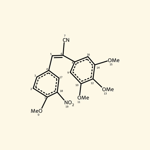 COc1ccc(/C=C(/C#N)c2cc(OC)c(OC)c(OC)c2)cc1[N+](=O)[O-]